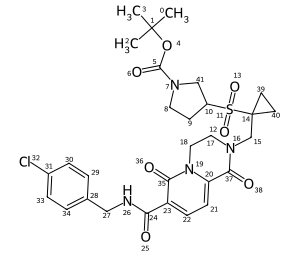 CC(C)(C)OC(=O)N1CCC(S(=O)(=O)C2(CN3CCn4c(ccc(C(=O)NCc5ccc(Cl)cc5)c4=O)C3=O)CC2)C1